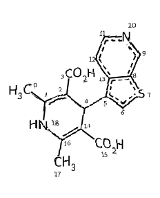 CC1=C(C(=O)O)C(c2csc3cnccc23)C(C(=O)O)=C(C)N1